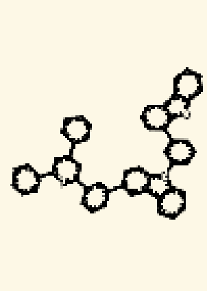 c1ccc(-c2cc(-c3ccccc3)nc(-c3cccc(-c4ccc5c(c4)c4ccccc4n5-c4cccc(-c5cccc6c5oc5ccccc56)c4)c3)c2)cc1